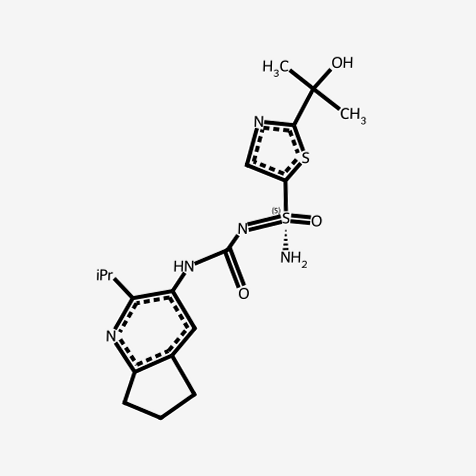 CC(C)c1nc2c(cc1NC(=O)N=[S@](N)(=O)c1cnc(C(C)(C)O)s1)CCC2